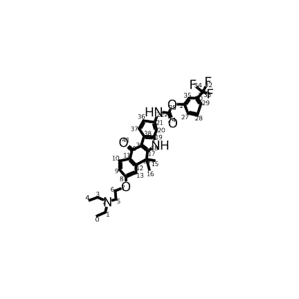 CCN(CC)CCOc1ccc2c(c1)C(C)(C)c1[nH]c3cc(NC(=O)Oc4cccc(C(F)(F)F)c4)ccc3c1C2=O